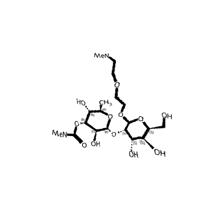 CNCCOCCOC1O[C@@H](CO)[C@@H](O)[C@H](O)[C@@H]1O[C@H]1O[C@H](C)[C@@H](O)[C@@H](OC(=O)NC)[C@@H]1O